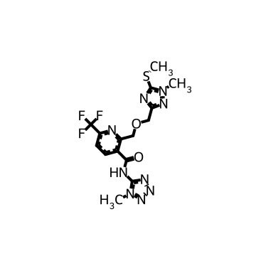 CSc1nc(COCc2nc(C(F)(F)F)ccc2C(=O)Nc2nnnn2C)nn1C